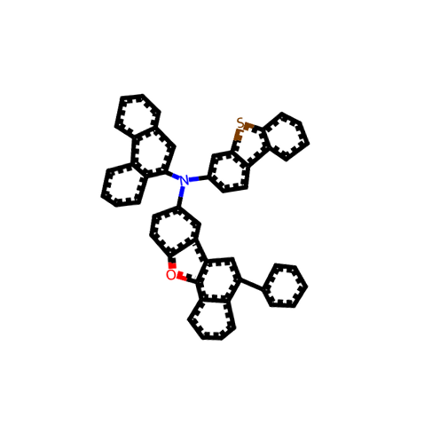 c1ccc(-c2cc3c4cc(N(c5ccc6c(c5)sc5ccccc56)c5cc6ccccc6c6ccccc56)ccc4oc3c3ccccc23)cc1